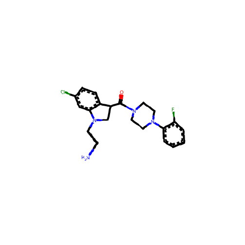 NCCN1CC(C(=O)N2CCN(c3ccccc3F)CC2)c2ccc(Cl)cc21